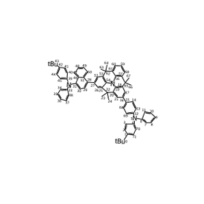 CC(C)(C)c1ccc(N(c2ccccc2)c2ccc(-c3cc4c5c(c3)C(C)(C)c3cc(-c6ccc(N(c7ccccc7)c7ccc(C(C)(C)C)cc7)c7ccccc67)cc6c3N5c3c(cccc3C6(C)C)C4(C)C)cc2)cc1